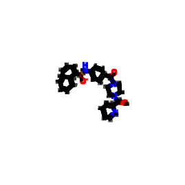 O=C(c1ccc(N[S+]([O-])c2cccc3ccccc23)cc1)N1CCN(C(=O)c2ccccn2)CC1